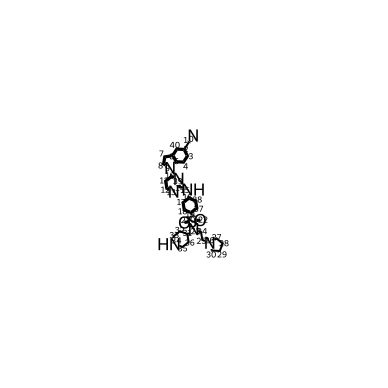 N#Cc1ccc2c(ccn2-c2ccnc(Nc3ccc(S(=O)(=O)N(CCN4CCCC4)C4CCNCC4)cc3)n2)c1